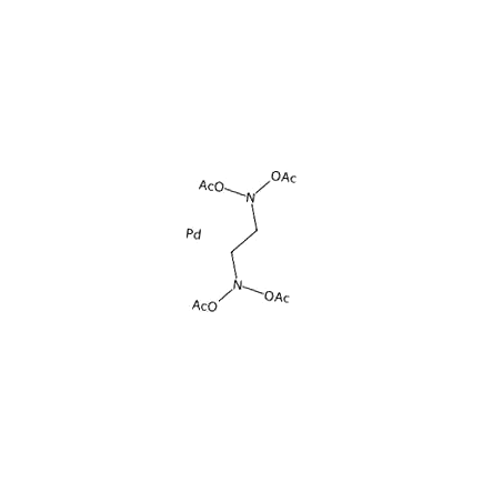 CC(=O)ON(CCN(OC(C)=O)OC(C)=O)OC(C)=O.[Pd]